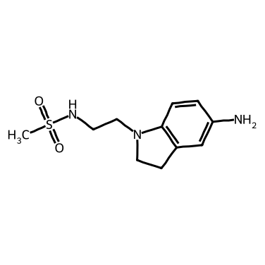 CS(=O)(=O)NCCN1CCc2cc(N)ccc21